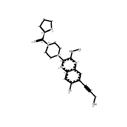 CCNc1nc2cc(C#CCO)c(Cl)cc2nc1N1CCN(C(=O)[C@H]2CCCO2)CC1